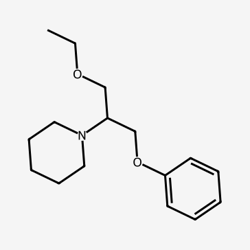 CCOCC(COc1ccccc1)N1CCCCC1